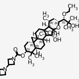 CCO[C@@H]([C@H]1C[C@@H](C)[C@H]2[C@H](O1)[C@H](O)[C@@]1(C)[C@@H]3CC[C@H]4C(C)(C)[C@@H](OC(=O)N5CC(N6CCC6)C5)CC[C@@]45C[C@@]35CC[C@]21C)C(C)(C)O